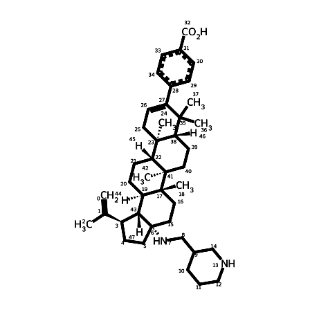 C=C(C)[C@@H]1CC[C@]2(NCC3CCCNC3)CC[C@]3(C)[C@H](CC[C@@H]4[C@@]5(C)CC=C(c6ccc(C(=O)O)cc6)C(C)(C)[C@@H]5CC[C@]43C)[C@@H]12